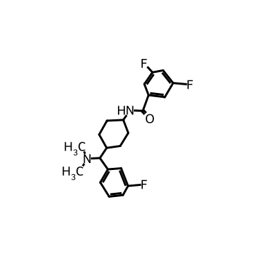 CN(C)C(c1cccc(F)c1)C1CCC(NC(=O)c2cc(F)cc(F)c2)CC1